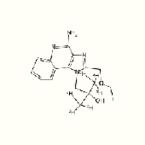 [2H]C([2H])([2H])C(O)(Cn1c(COCC)nc2c(N)nc3ccccc3c21)C([2H])([2H])[2H]